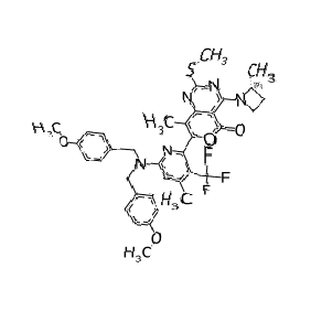 COc1ccc(CN(Cc2ccc(OC)cc2)c2cc(C)c(C(F)(F)F)c(-c3oc(=O)c4c(N5CC[C@H]5C)nc(SC)nc4c3C)n2)cc1